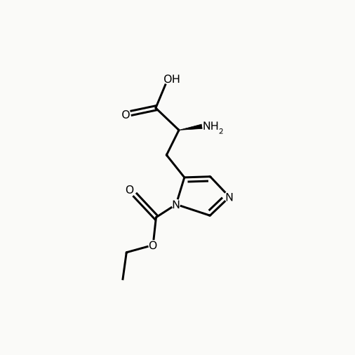 CCOC(=O)n1cncc1C[C@H](N)C(=O)O